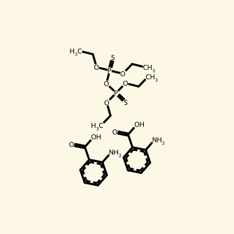 CCOP(=S)(OCC)OP(=S)(OCC)OCC.Nc1ccccc1C(=O)O.Nc1ccccc1C(=O)O